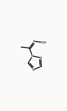 C/C(=N/O)n1cncn1